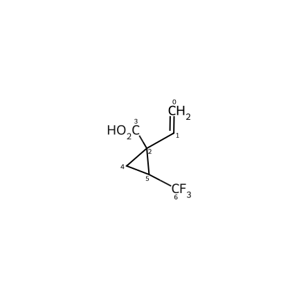 C=CC1(C(=O)O)CC1C(F)(F)F